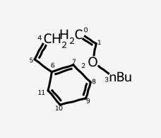 C=COCCCC.C=Cc1ccccc1